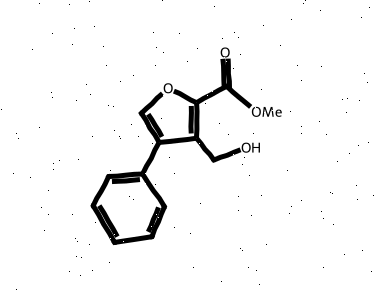 COC(=O)c1occ(-c2ccccc2)c1CO